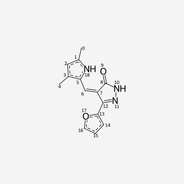 Cc1cc(C)c(C=C2C(=O)NN=C2c2ccco2)[nH]1